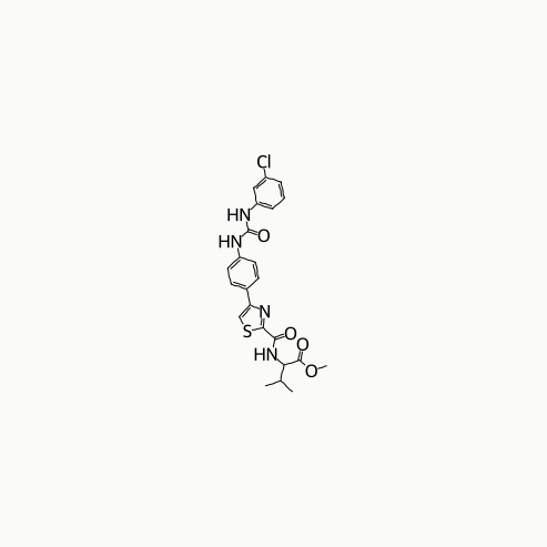 COC(=O)C(NC(=O)c1nc(-c2ccc(NC(=O)Nc3cccc(Cl)c3)cc2)cs1)C(C)C